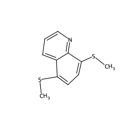 CSc1ccc(SC)c2ncccc12